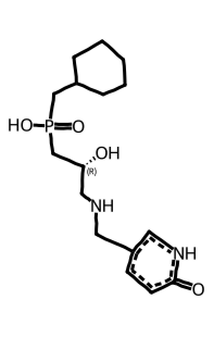 O=c1ccc(CNC[C@@H](O)CP(=O)(O)CC2CCCCC2)c[nH]1